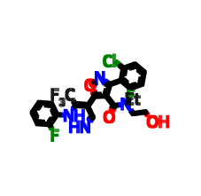 CCN(CCO)C(=O)c1c(-c2c(F)cccc2Cl)noc1/C(C=N)=C(/Nc1ccccc1F)C(F)(F)F